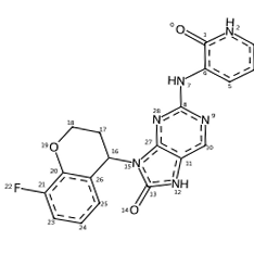 O=c1[nH]cccc1Nc1ncc2[nH]c(=O)n(C3CCOc4c(F)cccc43)c2n1